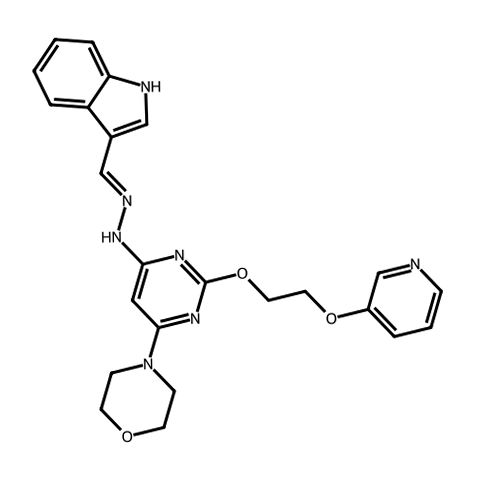 C(=N\Nc1cc(N2CCOCC2)nc(OCCOc2cccnc2)n1)/c1c[nH]c2ccccc12